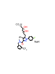 CC(C)c1c(C(=O)N(C)Cc2cccc(C(F)(F)F)c2)nn(-c2ccc(F)cc2)c1CC[C@@H](O)C[C@@H](O)CC(=O)O.[NaH]